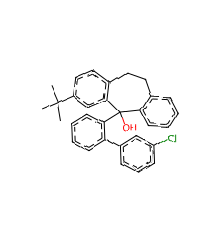 CC(C)(C)c1ccc2c(c1)C(O)(c1ccccc1-c1cccc(Cl)c1)c1ccccc1CC2